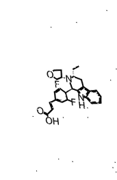 CC[C@@H]1Cc2c([nH]c3ccccc23)[C@@H](C2C(F)=CC(/C=C/C(=O)O)=CC2F)N1[C@H]1CCOC1